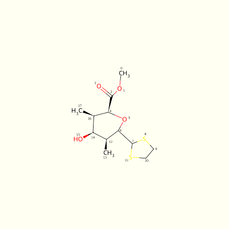 COC(=O)[C@H]1OC(C2SCCS2)[C@@H](C)[C@@H](O)[C@H]1C